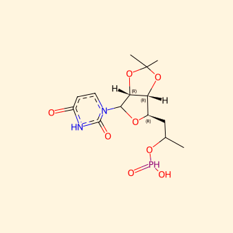 CC(C[C@H]1OC(n2ccc(=O)[nH]c2=O)[C@@H]2OC(C)(C)O[C@H]12)O[PH](=O)O